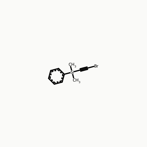 C[Si](C)(C#CBr)c1ccccc1